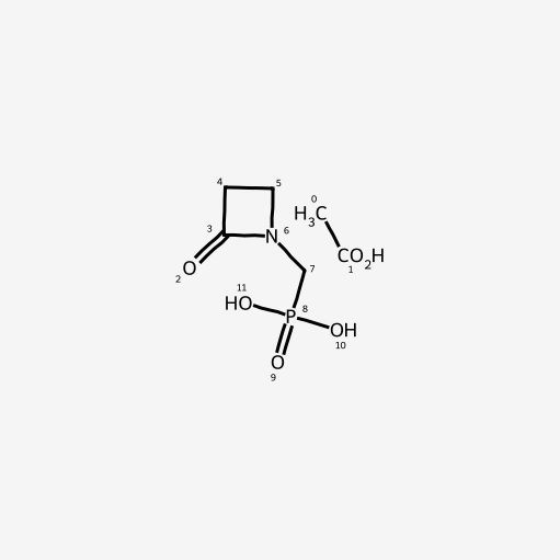 CC(=O)O.O=C1CCN1CP(=O)(O)O